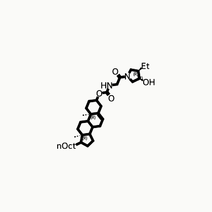 CCCCCCCCC1CCC2C3CC=C4CC(OC(=O)NCC(=O)N5C[C@@H](CC)[C@@H](O)C5)CC[C@]4(C)C3CC[C@]12C